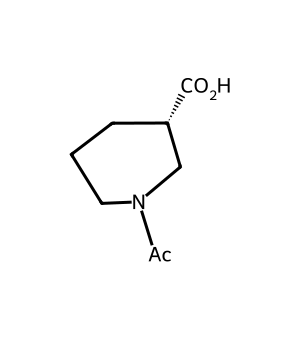 CC(=O)N1CCC[C@H](C(=O)O)C1